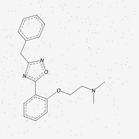 CN(C)CCOc1ccccc1-c1nc(Cc2ccccc2)no1